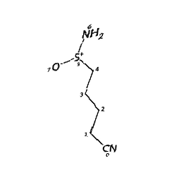 N#CCCCC[S+](N)[O-]